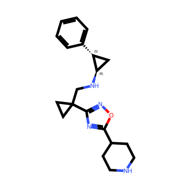 c1ccc([C@@H]2C[C@H]2NCC2(c3noc(C4CCNCC4)n3)CC2)cc1